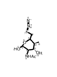 CC(=O)NC1C(O)OC(CN=[N+]=[N-])[C@@H](C)[C@@H]1O